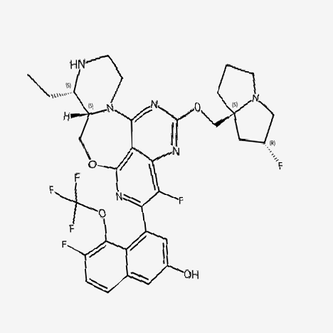 CC[C@@H]1NCCN2c3nc(OC[C@@]45CCCN4C[C@H](F)C5)nc4c(F)c(-c5cc(O)cc6ccc(F)c(OC(F)(F)F)c56)nc(c34)OC[C@H]12